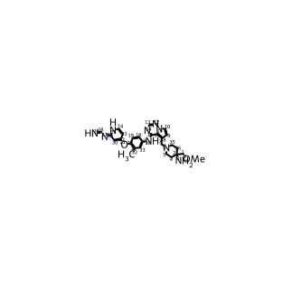 COCC1(N)CCN(Cc2ccn3ncnc(Nc4ccc(Oc5cc[nH]/c(=N\C=N)c5)c(C)c4)c23)CC1